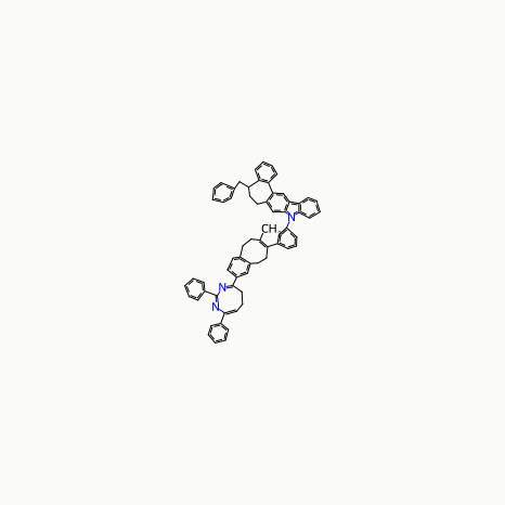 C/C1=C(\c2cccc(-n3c4ccccc4c4cc5c(cc43)CCC(Cc3ccccc3)c3ccccc3-5)c2)CCc2cc(/C3=N/C(c4ccccc4)=N\C(c4ccccc4)=C/CC3)ccc2CC1